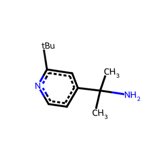 CC(C)(C)c1cc(C(C)(C)N)ccn1